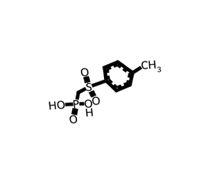 Cc1ccc(S(=O)(=O)CP(=O)(O)O)cc1